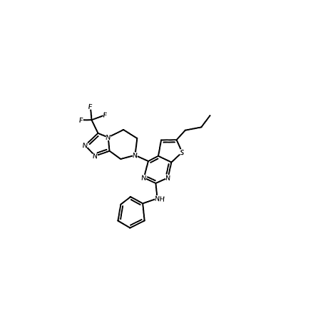 CCCc1cc2c(N3CCn4c(nnc4C(F)(F)F)C3)nc(Nc3ccccc3)nc2s1